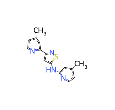 Cc1ccnc(Nc2cc(-c3cc(C)ccn3)ns2)c1